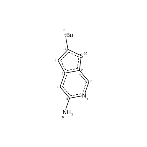 CC(C)(C)c1cc2cc(N)ncc2s1